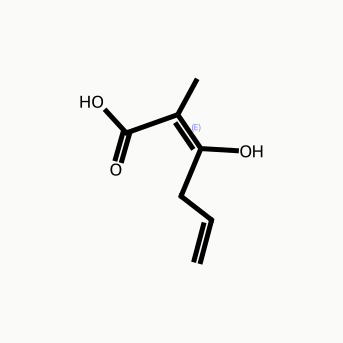 C=CC/C(O)=C(/C)C(=O)O